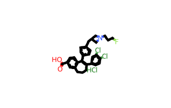 Cl.O=C(O)c1ccc2c(c1)CCCC(c1ccc(Cl)c(Cl)c1)=C2c1ccc(CC2CN(CCCF)C2)cc1